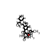 C[C@@H]1CN2c3c(cc4c(N5COC[C@@H]5c5ccncc5)noc4c3F)CC3(C(=O)NC(=O)NC3=O)[C@H]2[C@H](C)O1